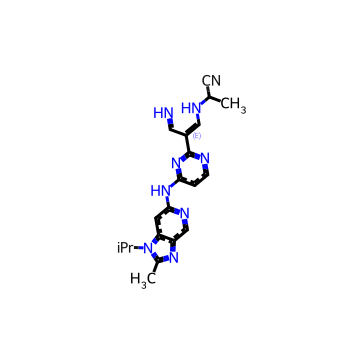 Cc1nc2cnc(Nc3ccnc(/C(C=N)=C/NC(C)C#N)n3)cc2n1C(C)C